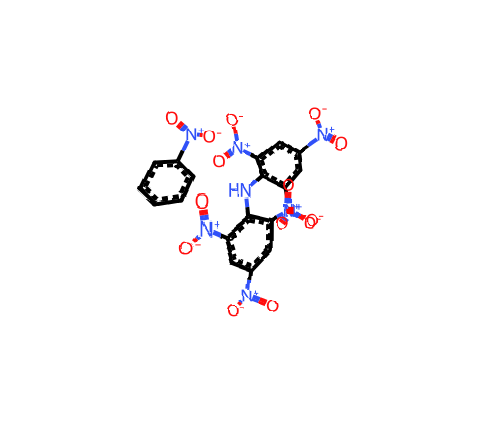 O=[N+]([O-])c1cc([N+](=O)[O-])c(Nc2c([N+](=O)[O-])cc([N+](=O)[O-])cc2[N+](=O)[O-])c([N+](=O)[O-])c1.O=[N+]([O-])c1ccccc1